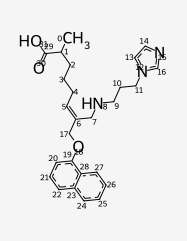 CC(CCCC=C(CNCCCn1ccnc1)COc1cccc2ccccc12)C(=O)O